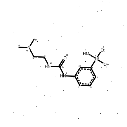 CC[N+](O)(O)c1cccc(NC(=O)NCCN(C)C)c1